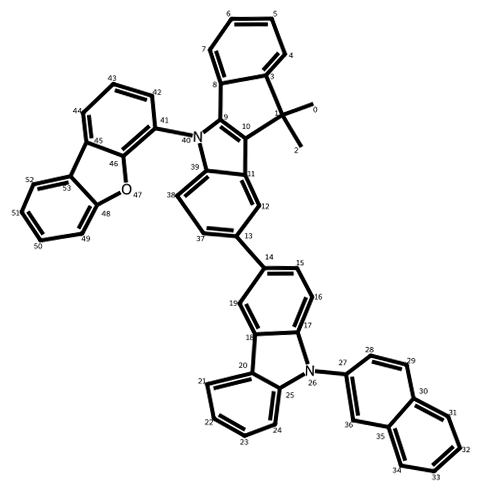 CC1(C)c2ccccc2-c2c1c1cc(-c3ccc4c(c3)c3ccccc3n4-c3ccc4ccccc4c3)ccc1n2-c1cccc2c1oc1ccccc12